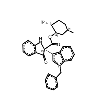 CC(C)[C@@H]1CC[C@@H](C)C[C@H]1OC(=O)[C@]1(c2cn(Cc3ccccc3)c3ccccc23)Nc2ccccc2C1=O